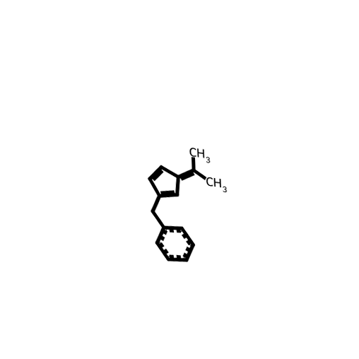 CC(C)=C1C=CC(Cc2ccccc2)=C1